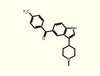 CN1CCC(c2c[nH]c3ccc(C(=O)c4ccc(C(F)(F)F)cc4)cc23)CC1